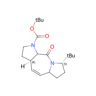 CC(C)(C)OC(=O)N1CC[C@@H]2C=CC3CC[C@@H](C(C)(C)C)N3C(=O)C21